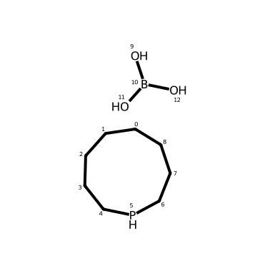 C1CCCCPCCC1.OB(O)O